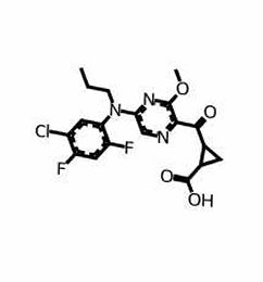 CCCN(c1cnc(C(=O)C2CC2C(=O)O)c(OC)n1)c1cc(Cl)c(F)cc1F